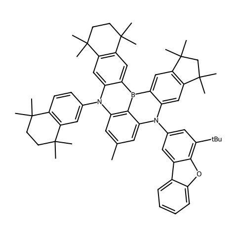 Cc1cc2c3c(c1)N(c1cc(C(C)(C)C)c4oc5ccccc5c4c1)c1cc4c(cc1B3c1cc3c(cc1N2c1ccc2c(c1)C(C)(C)CCC2(C)C)C(C)(C)CCC3(C)C)C(C)(C)CC4(C)C